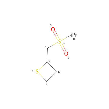 CC(C)S(=O)(=O)CC1CCS1